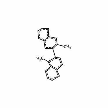 Cc1cc2c[c]ccc2cc1-c1ccc2ccccc2c1C